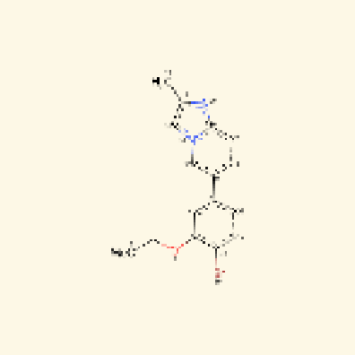 COCOc1cc(-c2ccc3nc(C)cn3c2)ccc1Br